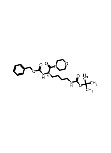 CC(C)(C)OC(=O)NCCCC[C@@H](NC(=O)OCc1ccccc1)C(=O)N1CCOCC1